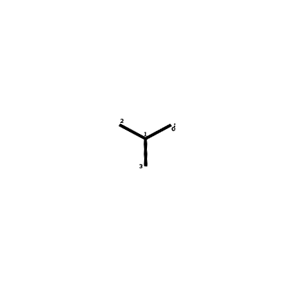 [CH]C(C)C